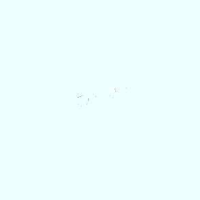 CCCc1cc(N2CCC(N(CC)C(=O)OC(C)(C)C)C2)nc(Cl)n1